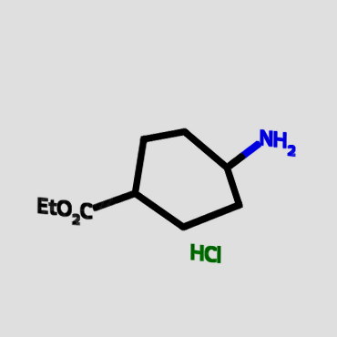 CCOC(=O)C1CCC(N)CC1.Cl